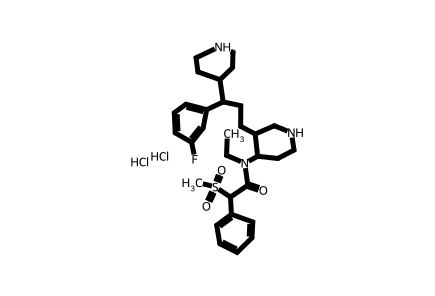 CCN(C(=O)C(c1ccccc1)S(C)(=O)=O)C1CCNCC1CCC(c1cccc(F)c1)C1CCNCC1.Cl.Cl